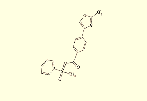 CS(=O)(=NC(=O)c1ccc(-c2coc(C(F)(F)F)n2)cc1)c1ccccc1